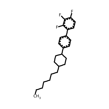 CCCCCCCC1CCC(c2ccc(-c3ccc(F)c(F)c3F)cc2)CC1